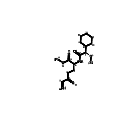 CCO[C@H](C(=O)N[C@@H](CCC(=O)C=N)C(=O)OC(C)C)C1CCCCC1